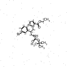 CCOC(=O)c1ccnn1CC(CNC(=O)OC(C)(C)C)c1cccc(Br)c1